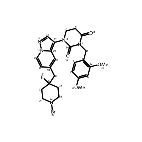 COc1ccc(CN2C(=O)CCN(c3cnn4ccc(CC5(F)CCN(Br)CC5)cc34)C2=O)c(OC)c1